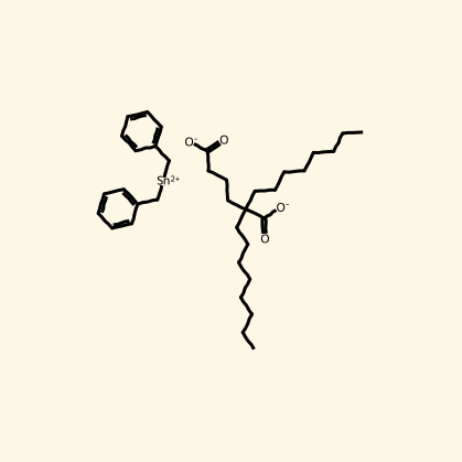 CCCCCCCCC(CCCCCCCC)(CCCC(=O)[O-])C(=O)[O-].c1ccc([CH2][Sn+2][CH2]c2ccccc2)cc1